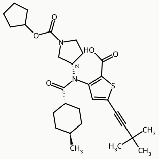 CC(C)(C)C#Cc1cc(N(C(=O)[C@H]2CC[C@H](C)CC2)[C@H]2CCN(C(=O)OC3CCCC3)C2)c(C(=O)O)s1